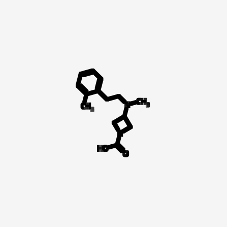 Cc1ccccc1CCN(C)C1CN(C(=O)O)C1